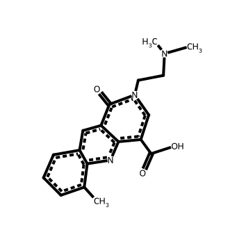 Cc1cccc2cc3c(=O)n(CCN(C)C)cc(C(=O)O)c3nc12